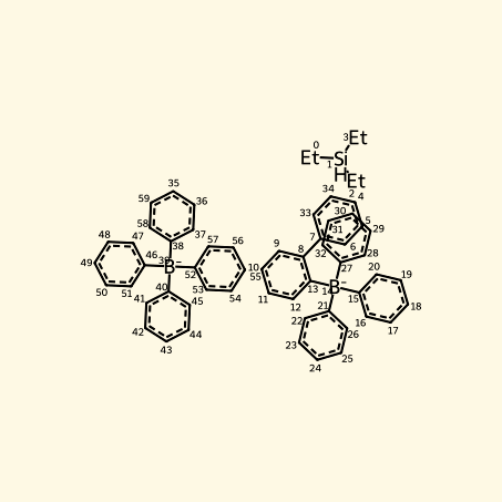 CC[SiH](CC)CC.c1ccc(-c2ccccc2[B-](c2ccccc2)(c2ccccc2)c2ccccc2)cc1.c1ccc([B-](c2ccccc2)(c2ccccc2)c2ccccc2)cc1